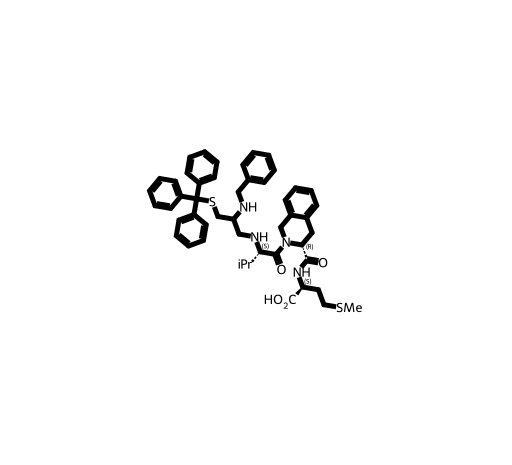 CSCC[C@H](NC(=O)[C@H]1Cc2ccccc2CN1C(=O)[C@@H](NCC(CSC(c1ccccc1)(c1ccccc1)c1ccccc1)NCc1ccccc1)C(C)C)C(=O)O